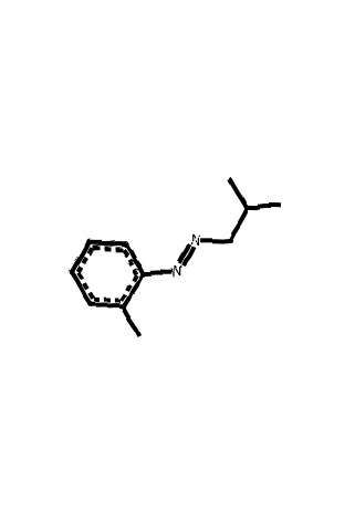 Cc1ccccc1/N=N/CC(C)C